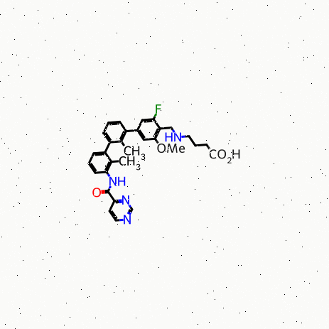 COc1cc(-c2cccc(-c3cccc(NC(=O)c4ccncn4)c3C)c2C)cc(F)c1CNCCCC(=O)O